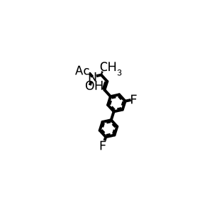 CC(=O)N(O)[C@@H](C)C=Cc1cc(F)cc(-c2ccc(F)cc2)c1